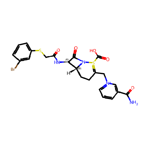 NC(=O)c1ccc[n+](CC2=S(C(=O)O)N3C(=O)[C@H](NC(=O)CSc4cccc(Br)c4)[C@H]3CC2)c1